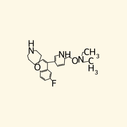 CCN(CC)OCC1C=CC(C2=CC3(CCCNCC3)Oc3ccc(F)cc32)=CN1